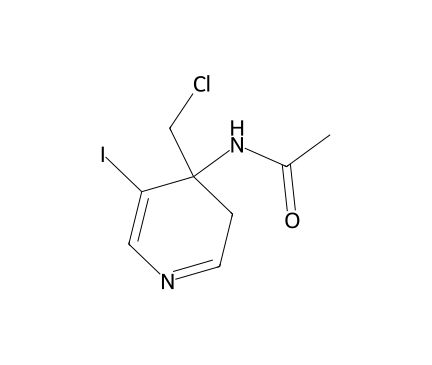 CC(=O)NC1(CCl)CC=NC=C1I